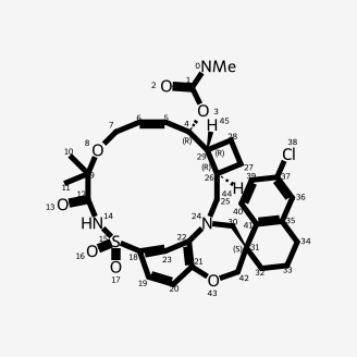 CNC(=O)O[C@H]1C=CCOC(C)(C)C(=O)NS(=O)(=O)c2ccc3c(c2)N(C[C@@H]2CC[C@H]21)C[C@@]1(CCCc2cc(Cl)ccc21)CO3